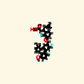 COc1ccc(F)c(-c2cc(F)c(COc3cccc([C@H](CC(=O)O)CC4CC4)c3F)cc2[C@H]2CCCC2(C)C)c1